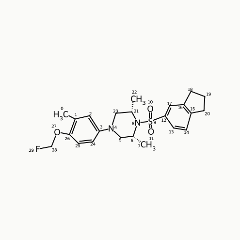 Cc1cc(N2C[C@@H](C)N(S(=O)(=O)c3ccc4c(c3)CCC4)[C@@H](C)C2)ccc1OCF